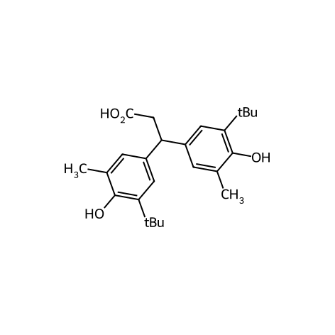 Cc1cc(C(CC(=O)O)c2cc(C)c(O)c(C(C)(C)C)c2)cc(C(C)(C)C)c1O